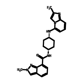 Cn1cc2cccc(C(=O)N[C@H]3CC[C@@H](Nc4cccc5nc(C(F)(F)F)cn45)CC3)c2n1